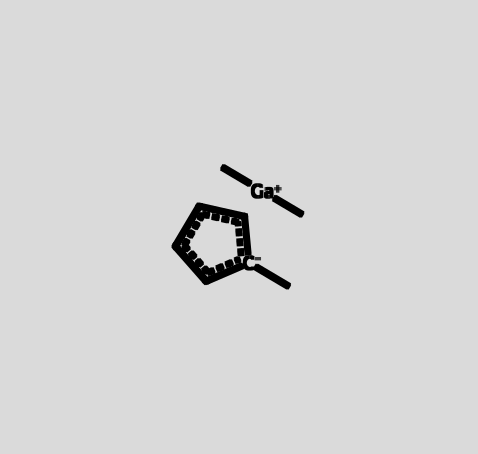 C[c-]1cccc1.[CH3][Ga+][CH3]